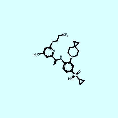 Cc1cc(OCCC(F)(F)F)nc(C(=O)Nc2ccc(S(=N)(=O)C3CC3)cc2N2CCC3(CC2)CC3)c1